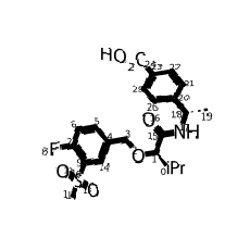 CC(C)[C@@H](OCc1ccc(F)c(S(C)(=O)=O)c1)C(=O)N[C@@H](C)c1ccc(C(=O)O)cc1